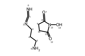 N=C=NCCCN.O=C1CCC(=O)N1O